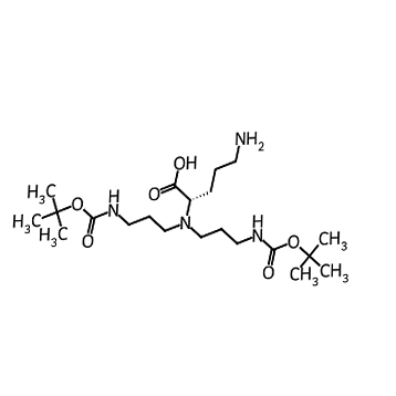 CC(C)(C)OC(=O)NCCCN(CCCNC(=O)OC(C)(C)C)[C@@H](CCCN)C(=O)O